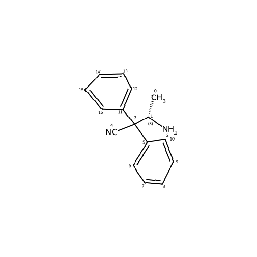 C[C@H](N)C(C#N)(c1ccccc1)c1ccccc1